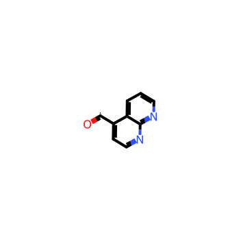 O=[C]c1ccnc2ncccc12